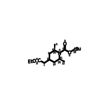 CCOC(=O)CC1C[C@@H](C)N(C(=O)OC(C)(C)C)[C@@H](C)C1